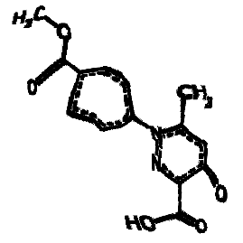 COC(=O)c1ccc(-n2nc(C(=O)O)c(=O)cc2C)cc1